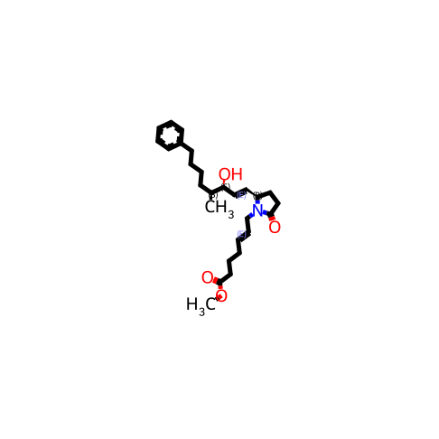 COC(=O)CCC/C=C/CN1C(=O)CC[C@@H]1/C=C/[C@@H](O)[C@@H](C)CCCCc1ccccc1